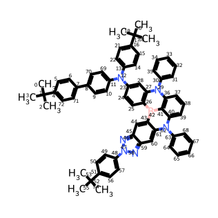 CC(C)(C)c1ccc(-c2ccc(N(c3ccc(C(C)(C)C)cc3)c3ccc4c(c3)N(c3ccccc3)c3cccc5c3B4c3cc4nn(-c6ccc(C(C)(C)C)cc6)nc4cc3N5c3ccccc3)cc2)cc1